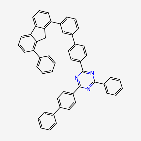 c1ccc(-c2ccc(-c3nc(-c4ccccc4)nc(-c4ccc(-c5cccc(-c6cccc7c6Cc6c(-c8ccccc8)cccc6-7)c5)cc4)n3)cc2)cc1